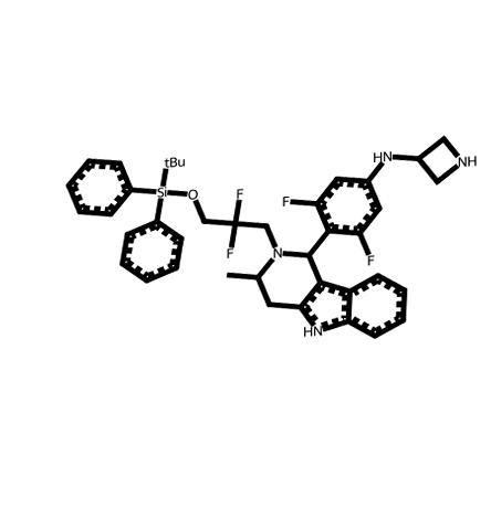 CC1Cc2[nH]c3ccccc3c2C(c2c(F)cc(NC3CNC3)cc2F)N1CC(F)(F)CO[Si](c1ccccc1)(c1ccccc1)C(C)(C)C